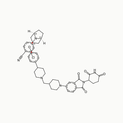 N#Cc1ccc(N2[C@@H]3CC[C@H]2C[C@H](Oc2ccc(C4CCN(CC5CCN(c6ccc7c(c6)C(=O)N(C6CCC(=O)NC6=O)C7=O)CC5)CC4)cc2)C3)cc1Cl